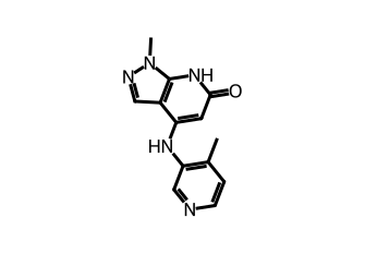 Cc1ccncc1Nc1cc(=O)[nH]c2c1cnn2C